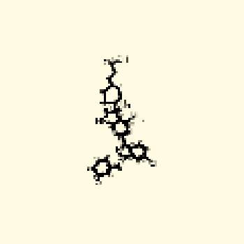 CC1(C2CCC(CCC(=O)O)CC2)C(=O)Nc2nc(-c3nn(Cc4cccc(F)c4)c4cc(Cl)ccc34)nc(N)c21